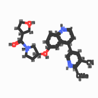 COc1ncc(-c2ccnc3ccc(O[C@H]4CCN(C(=O)C5CCOC5)C4)cc23)cc1C#N